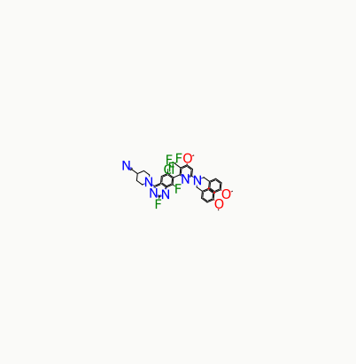 COc1ccc(CN(Cc2ccc(OC)cc2)c2cc(OC)c(C(F)(F)F)c(-c3c(Cl)cc4c(N5CCC(C#N)CC5)nc(F)nc4c3F)n2)cc1